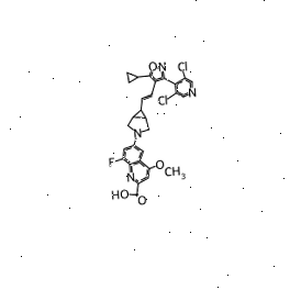 COc1cc(C(=O)O)nc2c(F)cc(N3CC4C(C=Cc5c(-c6c(Cl)cncc6Cl)noc5C5CC5)C4C3)cc12